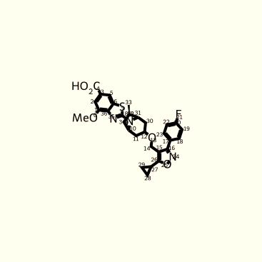 COc1cc(C(=O)O)cc2sc(N3C4CC(OCc5c(-c6ccc(F)cc6)noc5C5CC5)CC3[C@H](C)C4)nc12